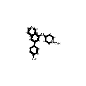 CC(=O)C1=CCC(c2cc(OC3CCN(O)CC3)c3cnccc3c2)C=C1